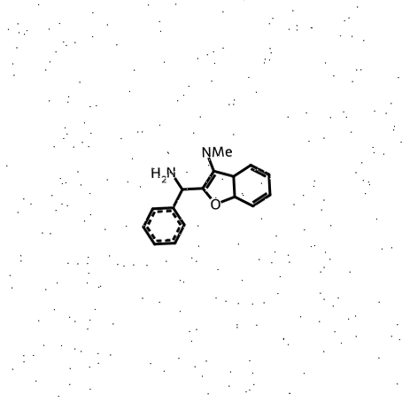 CNC1=C(C(N)c2ccccc2)OC2C=CC=CC12